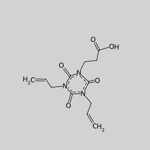 C=CCn1c(=O)n(CC=C)c(=O)n(CCC(=O)O)c1=O